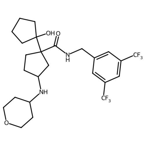 O=C(NCc1cc(C(F)(F)F)cc(C(F)(F)F)c1)C1(C2(O)CCCC2)CCC(NC2CCOCC2)C1